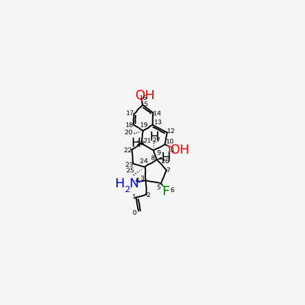 C=CCC1(N)C(F)C[C@H]2[C@@H]3C(O)C=C4C=C(O)C=C[C@]4(C)[C@@H]3CC[C@@]21C